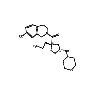 O=C(N1CCc2ncc(C(F)(F)F)cc2C1)[C@@]1(CCC(F)(F)F)CC[C@@H](NC2CCOCC2)C1